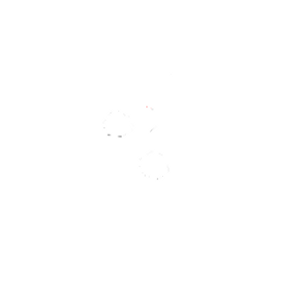 CCOC(=O)C=C(c1ccc(OC2CCCCO2)cc1)c1cc(F)cc(F)c1